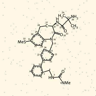 CNC(=O)NCc1ccccc1-c1ccc(CN2C(=O)[C@H](NC(=O)C(C)(C)N)CCc3cc(SC)ccc32)cc1